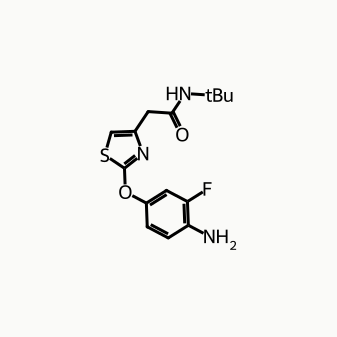 CC(C)(C)NC(=O)Cc1csc(Oc2ccc(N)c(F)c2)n1